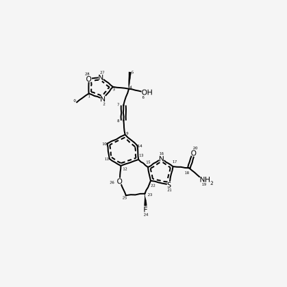 Cc1nc([C@](C)(O)C#Cc2ccc3c(c2)-c2nc(C(N)=O)sc2[C@@H](F)CO3)no1